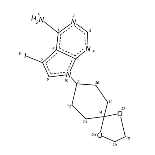 Nc1ncnc2c1c(I)cn2C1CCC2(CC1)OCCO2